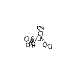 N#Cc1ccc2c(c1)CC(NS(=O)(=O)c1ccccc1Cl)CN2Cc1cccc(Cl)c1